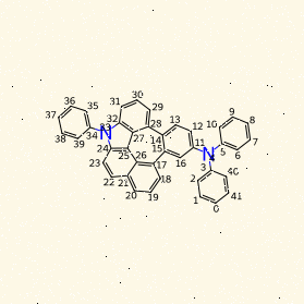 c1ccc(N(c2ccccc2)c2ccc3c(c2)-c2cccc4ccc5c(c24)c2c-3cccc2n5-c2ccccc2)cc1